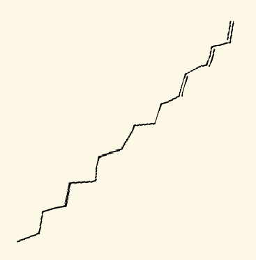 C=CC=CC=CCCCCCCCCCCC